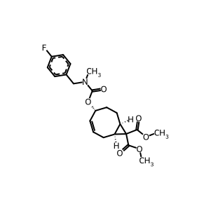 COC(=O)C1(C(=O)OC)[C@@H]2CC[C@@H](OC(=O)N(C)Cc3ccc(F)cc3)/C=C\C[C@@H]21